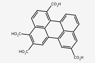 O=C(O)c1cc2cccc3c4c(C(=O)O)ccc5c(C(=O)O)c(C(=O)O)cc(c(c1)c23)c54